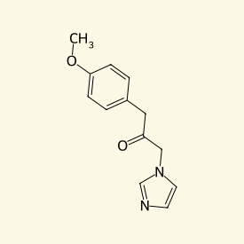 COc1ccc(CC(=O)Cn2ccnc2)cc1